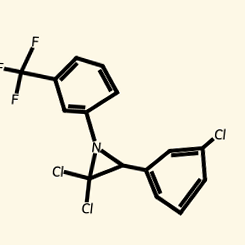 FC(F)(F)c1cccc(N2C(c3cccc(Cl)c3)C2(Cl)Cl)c1